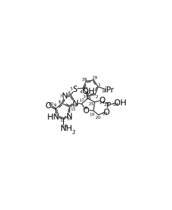 CC(C)c1ccc(Sc2nc3c(=O)[nH]c(N)nc3n2C2OC3COP(O)OC3C2O)cc1